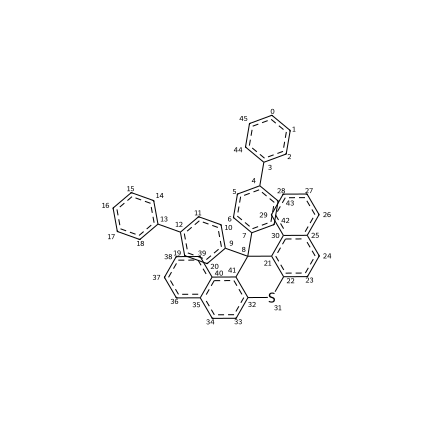 c1ccc(-c2ccc(C3(c4ccc(-c5ccccc5)cc4)c4c(ccc5ccccc45)Sc4ccc5ccccc5c43)cc2)cc1